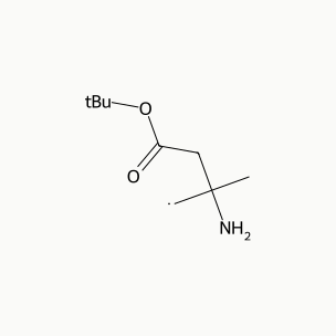 [CH2]C(C)(N)CC(=O)OC(C)(C)C